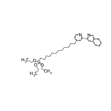 CCO[Si](CCCCCCCCCCCCc1ccnc(-c2cc3ccccc3cn2)c1)(OCC)OCC